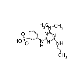 CCCNc1nc(Nc2cccc(S(=O)(=O)O)c2)nc(N(C)C)n1